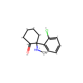 N#CNC1(c2ccccc2Cl)CCCCC1=O